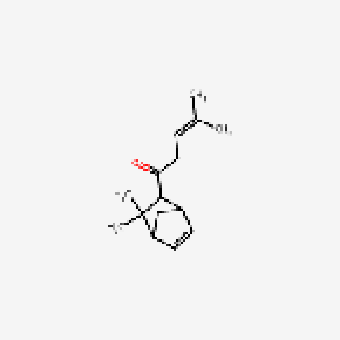 CC(C)=CCC(=O)C1C2C=CC(C2)C1(C)C